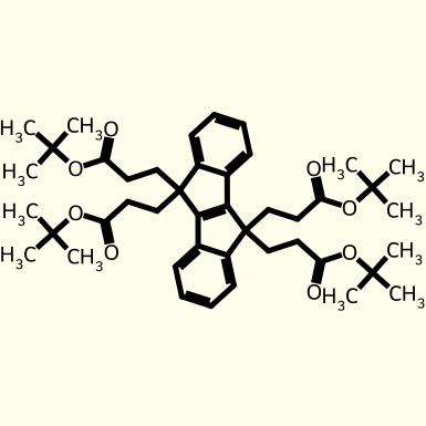 CC(C)(C)OC(=O)CCC1(CCC(=O)OC(C)(C)C)C2=C(c3ccccc31)C(CCC(=O)OC(C)(C)C)(CCC(=O)OC(C)(C)C)c1ccccc12